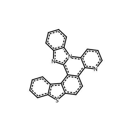 c1ccc2c(c1)nc1c3c(ccc4sc5ccccc5c43)c3ncccc3n21